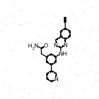 C#Cc1ccc2nc(Nc3cc(CC(N)=O)cc(-c4cccnc4)c3)ncc2c1